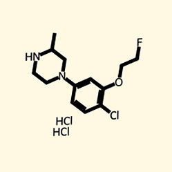 CC1CN(c2ccc(Cl)c(OCCF)c2)CCN1.Cl.Cl